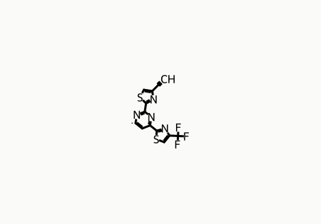 C#Cc1csc(-c2n[c]cc(-c3nc(C(F)(F)F)cs3)n2)n1